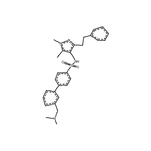 Cc1c(NS(=O)(=O)c2ccc(-c3cccc(CN(C)C)c3)cc2)c(CCc2ccccc2)nn1C